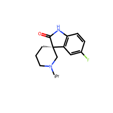 CC(C)N1CCC[C@]2(C1)C(=O)Nc1ccc(F)cc12